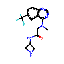 CN(CC(=O)NC1CNC1)c1ncnc2ccc(C(F)(F)F)cc12